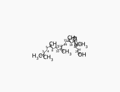 CC(C)=CCCC(C)=CCCC(C)=CCCC(C)=CC(=O)N(C)CCCO